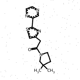 CC1(C)CCN(C(=O)Cc2csc(-c3cnccn3)n2)C1